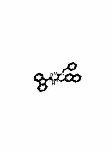 O=C(N[C@H](Cc1ccc2ccccc2c1)C(=O)OCc1ccccc1)C1c2ccccc2-c2ccccc21